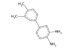 Cc1ccc(-c2ccc(N)c(N)c2)cc1C